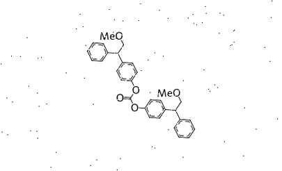 COCC(c1ccccc1)c1ccc(OC(=O)Oc2ccc(C(COC)c3ccccc3)cc2)cc1